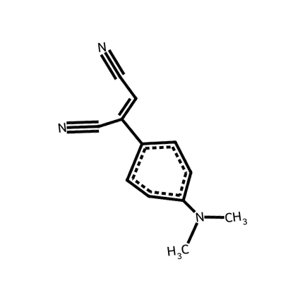 CN(C)c1ccc(C(C#N)=CC#N)cc1